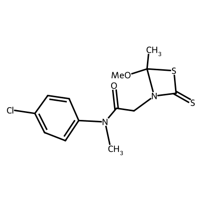 COC1(C)SC(=S)N1CC(=O)N(C)c1ccc(Cl)cc1